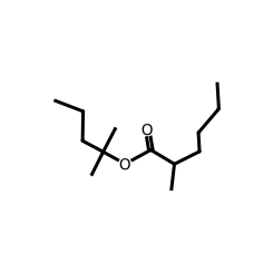 CCCCC(C)C(=O)OC(C)(C)CCC